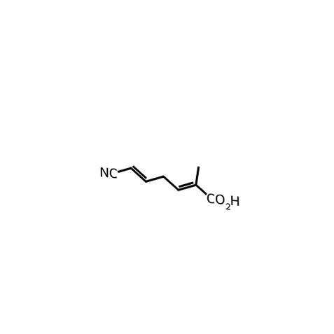 CC(=CCC=CC#N)C(=O)O